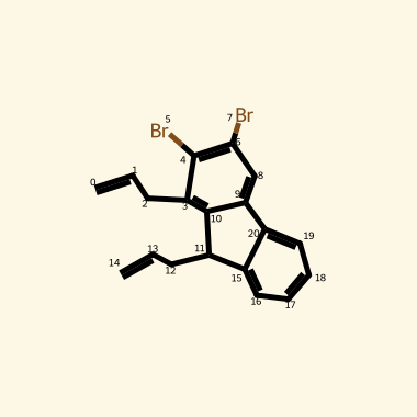 C=CCc1c(Br)c(Br)cc2c1C(CC=C)c1ccccc1-2